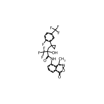 Cc1noc(=O)c2cccc(NC(=O)C(O)(CC3(c4cc(C(F)(F)F)ccc4F)CC3)C(F)(F)F)c12